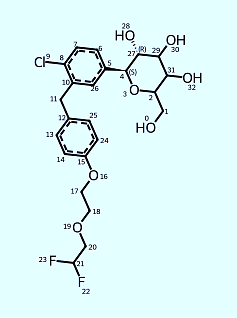 OCC1O[C@@H](c2ccc(Cl)c(Cc3ccc(OCCOCC(F)F)cc3)c2)[C@H](O)C(O)C1O